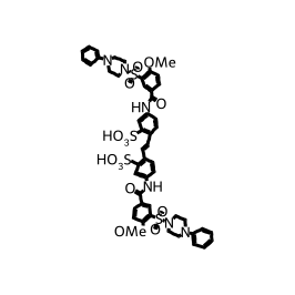 COc1ccc(C(=O)Nc2ccc(C=Cc3ccc(NC(=O)c4ccc(OC)c(S(=O)(=O)N5CCN(c6ccccc6)CC5)c4)cc3S(=O)(=O)O)c(S(=O)(=O)O)c2)cc1S(=O)(=O)N1CCN(c2ccccc2)CC1